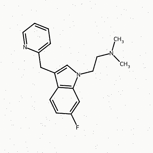 CN(C)CCn1cc(Cc2ccccn2)c2ccc(F)cc21